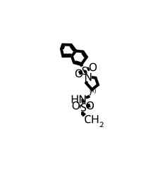 C=CS(=O)(=O)NC[C@H]1CCN(S(=O)(=O)c2ccc3ccccc3c2)C1